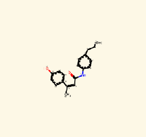 CCCCCCCCCCCCc1ccc(NC(=O)C=C(C)c2ccc(O)cc2)cc1